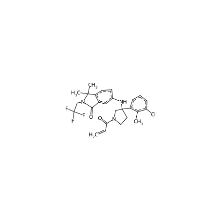 C=CC(=O)N1CCC(Nc2ccc3c(c2)C(=O)N(CC(F)(F)F)C3(C)C)(c2cccc(Cl)c2C)C1